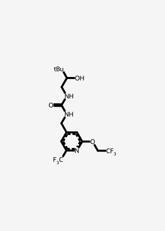 CC(C)(C)C(O)CNC(=O)NCc1cc(OCC(F)(F)F)nc(C(F)(F)F)c1